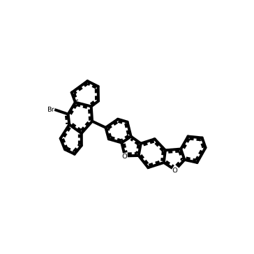 Brc1c2ccccc2c(-c2ccc3c(c2)oc2cc4oc5ccccc5c4cc23)c2ccccc12